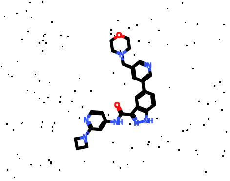 O=C(Nc1ccnc(N2CCC2)c1)c1n[nH]c2ccc(-c3cncc(CN4CCOCC4)c3)cc12